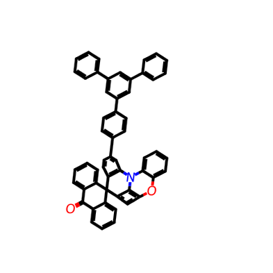 O=C1c2ccccc2C2(c3ccccc31)c1ccc(-c3ccc(-c4cc(-c5ccccc5)cc(-c5ccccc5)c4)cc3)cc1N1c3ccccc3Oc3cccc2c31